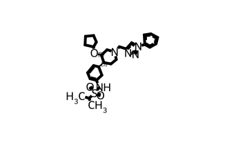 CC(C)S(=O)(=O)NC1=CC=CC([C@@H]2CCN(Cc3cn(-c4ccccc4)nn3)C[C@@H]2OC2CCCC2)C1